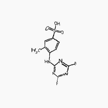 Cc1cc(S(=O)(=O)O)ccc1Nc1nc(F)nc(F)n1